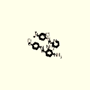 CCOc1ccc(N=Nc2ccc(N)cc2N)cc1.CN(C)c1ccc(N=Nc2ccccn2)cc1.Cl